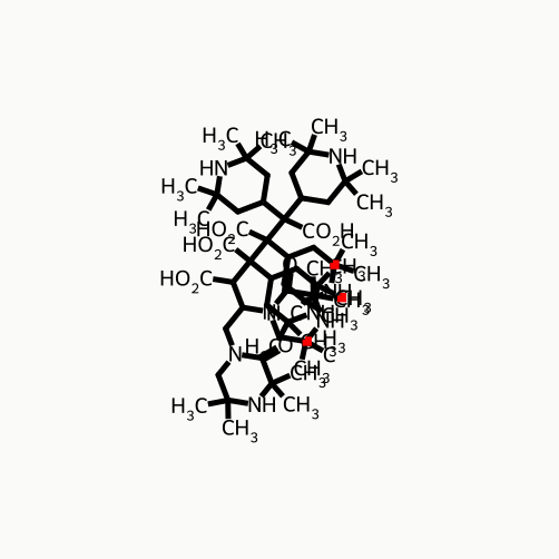 CC1(C)CC(C(C(=O)O)(C2CC(C)(C)NC(C)(C)C2)C(C(=O)O)(C2CC(C)(C)NC(C)(C)C2)C(C(=O)O)(C2CC(C)(C)NC(C)(C)C2)C(C(=O)O)C(CN2CC(C)(C)NC(C)(C)C2=O)N2CC(C)(C)NC(C)(C)C2=O)CC(C)(C)N1